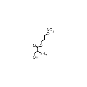 NC(CO)C(=O)OCCCO[N+](=O)[O-]